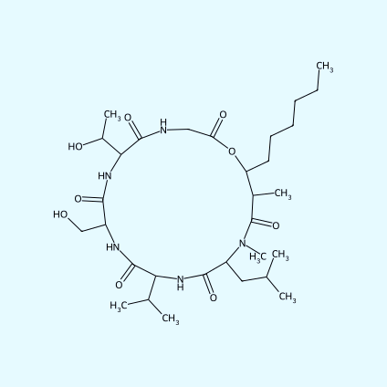 CCCCCCC1OC(=O)CNC(=O)C(C(C)O)NC(=O)C(CO)NC(=O)C(C(C)C)NC(=O)C(CC(C)C)N(C)C(=O)C1C